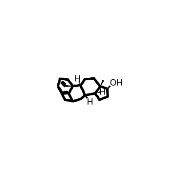 C=C[C@]12CCC3C=C1C(C3)C[C@H]1[C@@H]3CC[C@H](O)[C@@]3(C)CC[C@@H]12